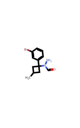 CC1CC(c2cccc(Br)c2)(N(N)C=O)C1